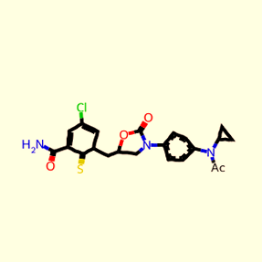 CC(=O)N(c1ccc(N2CC(CC3C=C(Cl)C=C(C(N)=O)C3=S)OC2=O)cc1)C1CC1